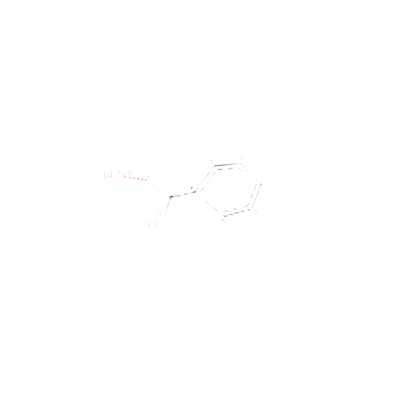 OCC(S)c1ccccc1